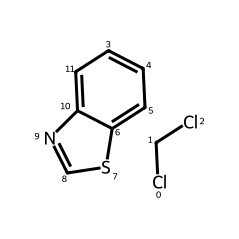 ClCCl.c1ccc2scnc2c1